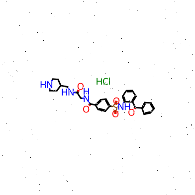 Cl.O=C(CNC(=O)c1ccc(S(=O)(=O)Nc2ccccc2C(=O)c2ccccc2)cc1)NCC1CCNCC1